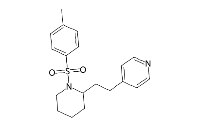 Cc1ccc(S(=O)(=O)N2CCCCC2CCc2ccncc2)cc1